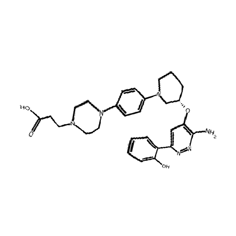 Nc1nnc(-c2ccccc2O)cc1O[C@H]1CCCN(c2ccc(N3CCN(CCC(=O)O)CC3)cc2)C1